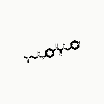 CN(C)CCNSc1ccc(NC(=O)NCc2ccncc2)cc1